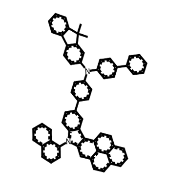 CC1(C)c2ccccc2-c2ccc(N(c3ccc(-c4ccccc4)cc3)c3ccc(-c4ccc5c(c4)c4c6ccc7cccc8ccc(cc4n5-c4cccc5ccccc45)c6c87)cc3)cc21